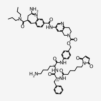 CCCN(CCC)C(=O)C1=Cc2ccc(C(=O)Nc3cnc4c(c3)CN(C(=O)OCc3ccc(NC(=O)[C@H](CCCCN)NC(=O)[C@H](Cc5ccccc5)NC(=O)CCCCCN5C(=O)C=CC5=O)cc3)CC4)cc2N=C(N)C1